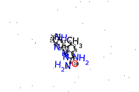 Cc1ccc2c(N)c(C(N)=O)nnc2c1-c1cnc2cc[nH]c2c1